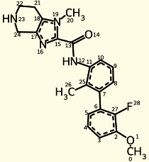 COc1cccc(-c2cccc(NC(=O)c3nc4c(n3C)CCNC4)c2C)c1F